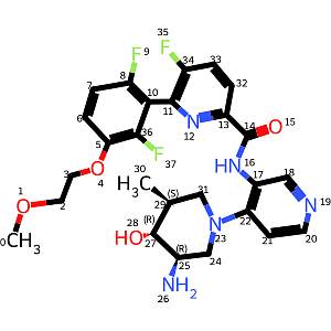 COCCOc1ccc(F)c(-c2nc(C(=O)Nc3cnccc3N3C[C@@H](N)[C@H](O)[C@@H](C)C3)ccc2F)c1F